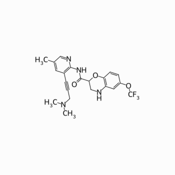 Cc1cnc(NC(=O)C2CNc3cc(OC(F)(F)F)ccc3O2)c(C#CCN(C)C)c1